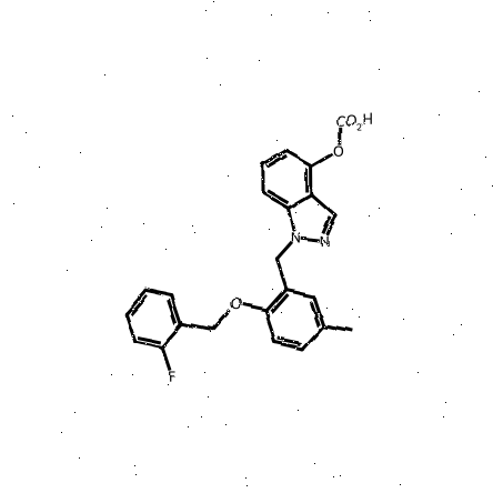 Cc1ccc(OCc2ccccc2F)c(Cn2ncc3c(OC(=O)O)cccc32)c1